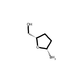 B[C@H]1CC[C@@H](CO)O1